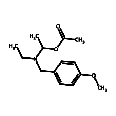 CCN(Cc1ccc(OC)cc1)C(C)OC(C)=O